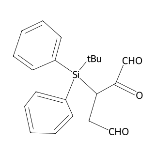 CC(C)(C)[Si](c1ccccc1)(c1ccccc1)C(CC=O)C(=O)C=O